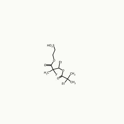 CCC(OC(=O)C(C)(C)CC)C(C)(F)C(=O)OCCS(=O)(=O)O